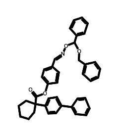 O=C(Oc1ccc(C=NOC(OCc2ccccc2)c2ccccc2)cc1)C1(c2ccc(-c3ccccc3)cc2)CCCCC1